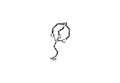 SCC[Si]12OCCN(CCO1)CCO2